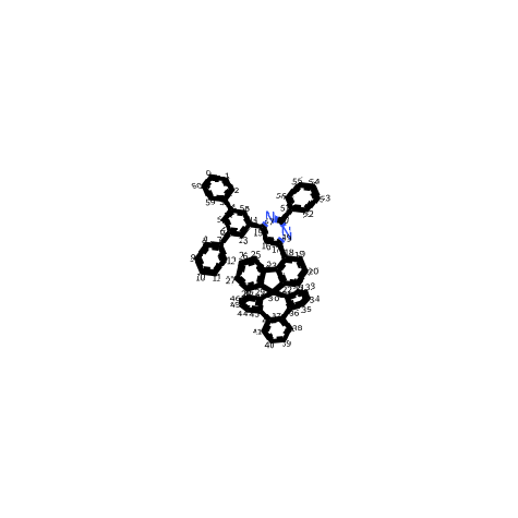 c1ccc(-c2cc(-c3ccccc3)cc(-c3cc(-c4cccc5c4-c4ccccc4C54c5ccccc5-c5ccccc5-c5ccccc54)nc(-c4ccccc4)n3)c2)cc1